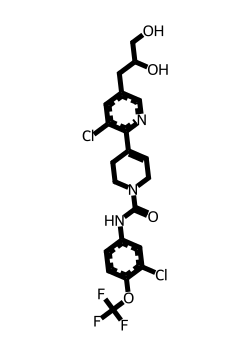 O=C(Nc1ccc(OC(F)(F)F)c(Cl)c1)N1CC=C(c2ncc(CC(O)CO)cc2Cl)CC1